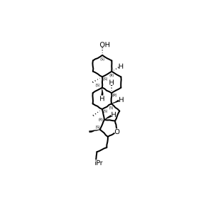 CC(C)CCC1OC2C[C@H]3[C@@H]4CC[C@@H]5C[C@@H](O)CC[C@]5(C)[C@H]4CC[C@]3(C)[C@H]2[C@@H]1C